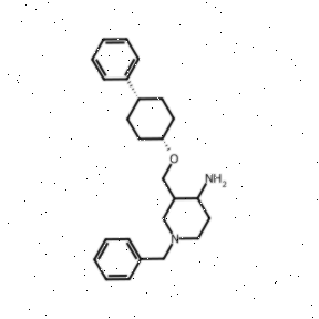 NC1CCN(Cc2ccccc2)CC1CO[C@H]1CC[C@@H](c2ccccc2)CC1